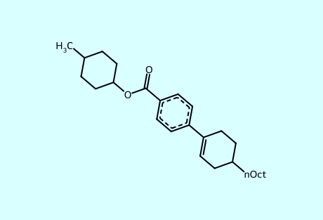 CCCCCCCCC1CC=C(c2ccc(C(=O)OC3CCC(C)CC3)cc2)CC1